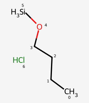 CCCCO[SiH3].Cl